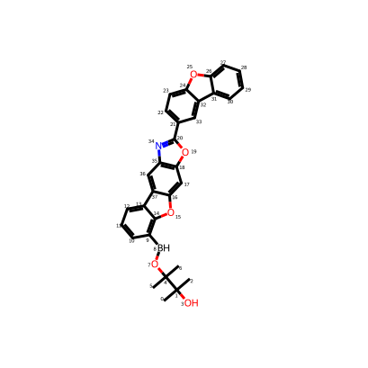 CC(C)(O)C(C)(C)OBc1cccc2c1oc1cc3oc(-c4ccc5oc6ccccc6c5c4)nc3cc12